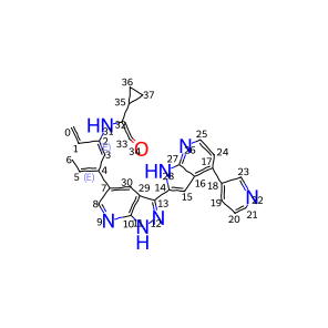 C=C/C(=C\C(=C/C)c1cnc2[nH]nc(-c3cc4c(-c5cccnc5)ccnc4[nH]3)c2c1)NC(=C=O)C1CC1